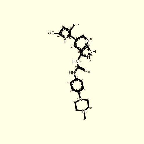 CN1CCN(c2ccc(NC(=O)Nc3n[nH]c4ncc(-c5sc(F)cc5F)cc34)cc2)CC1